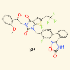 COc1ccccc1C(=O)Cn1c(=O)c2cc(CC(F)(F)F)sc2n(Cc2c(F)cc(-c3ccccc3-c3noc(=O)[nH]3)cc2F)c1=O.[KH]